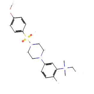 CC(C)Oc1ccc(S(=O)(=O)N2CCN(c3ccc([N+](=O)[O-])c([N+](C)(C)CC(=O)O)c3)CC2)cc1